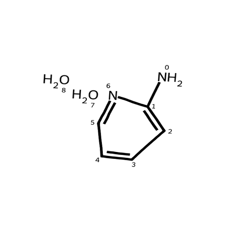 Nc1ccccn1.O.O